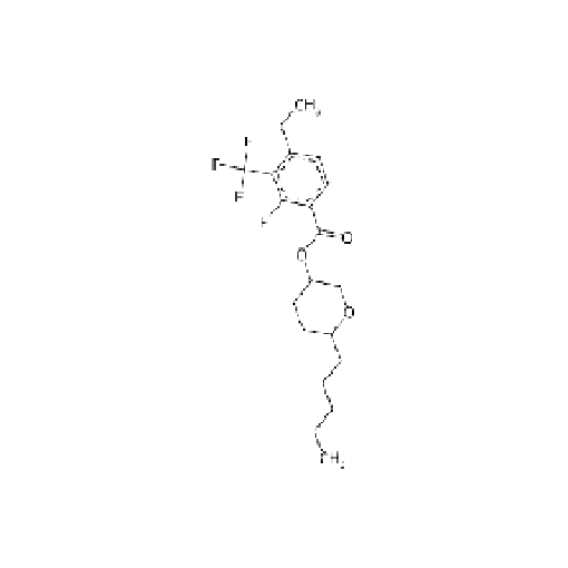 CCCCCC1CCC(OC(=O)c2ccc(CC)c(C(F)(F)F)c2F)CO1